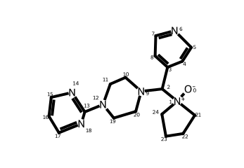 [O-][N+]1(C(c2ccncc2)N2CCN(c3ncccn3)CC2)CCCC1